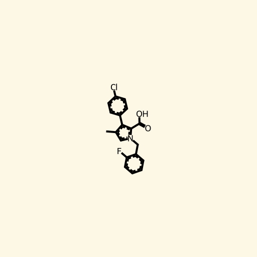 Cc1cn(Cc2ccccc2F)c(C(=O)O)c1-c1ccc(Cl)cc1